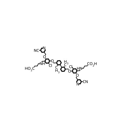 Cc1c(COc2cc(OCc3cncc(C#N)c3)c(CNCCCC(=O)O)cc2Cl)cccc1-c1cccc(COc2cc(OCc3cncc(C#N)c3)c(CNCCCC(=O)O)cc2Cl)c1C